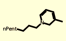 CCCCCCCCN1C=CC=C(C)C1